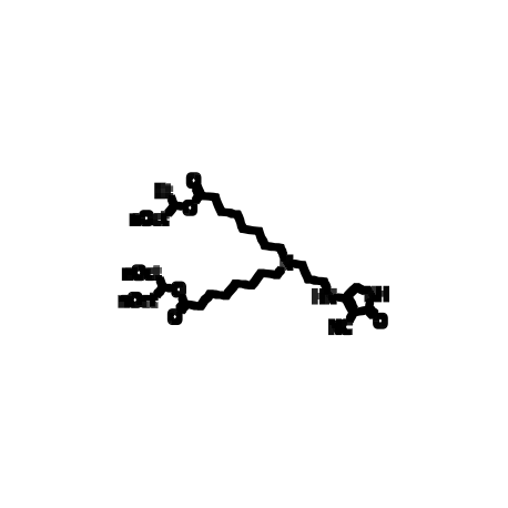 CCCCCCCCC(CC)OC(=O)CCCCCCCN(CCCCCCCC(=O)OC(CCCCCCCC)CCCCCCCC)CCCNC1=C(C#N)C(=O)NC1